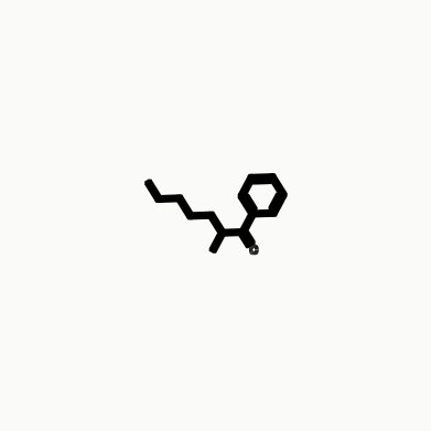 CCCCCC(C)C(=O)c1ccccc1